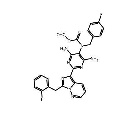 Nc1nc(-c2nc(Cc3ccccc3F)n3ncccc23)nc(N)c1N(Cc1ccc(F)cc1)C(=O)OC=O